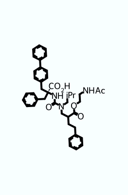 CC(=O)NCCOC(=O)C(CCc1ccccc1)CN(CC(C)C)C(=O)N[C@@](Cc1ccccc1)(Cc1ccc(-c2ccccc2)cc1)C(=O)O